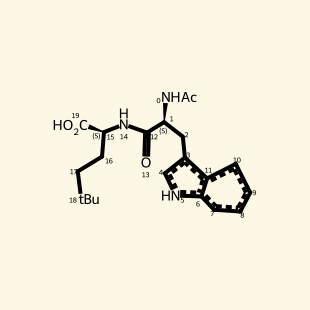 CC(=O)N[C@@H](Cc1c[nH]c2ccccc12)C(=O)N[C@@H](CCC(C)(C)C)C(=O)O